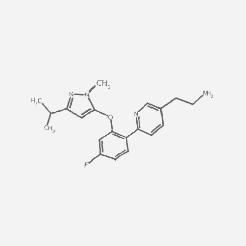 CC(C)c1cc(Oc2cc(F)ccc2-c2ccc(CCN)cn2)n(C)n1